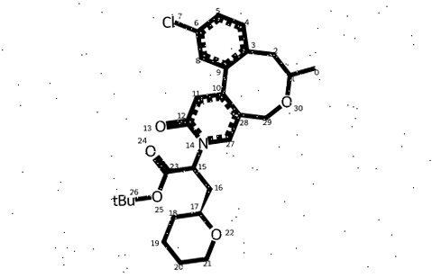 CC1Cc2ccc(Cl)cc2-c2cc(=O)n(C(C[C@@H]3CCCCO3)C(=O)OC(C)(C)C)cc2CO1